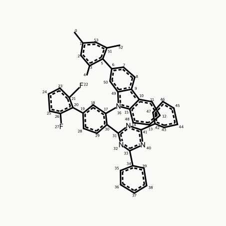 Cc1cc(C)c(-c2ccc3c4ccccc4n(-c4cc(-c5c(F)cccc5F)ccc4-c4nc(-c5ccccc5)nc(-c5ccccc5)n4)c3c2)c(C)c1